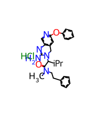 CC(C)C(C(=O)N(C)CCc1ccccc1)N1Cc2cc(Oc3ccccc3)ncc2N=C1N.Cl